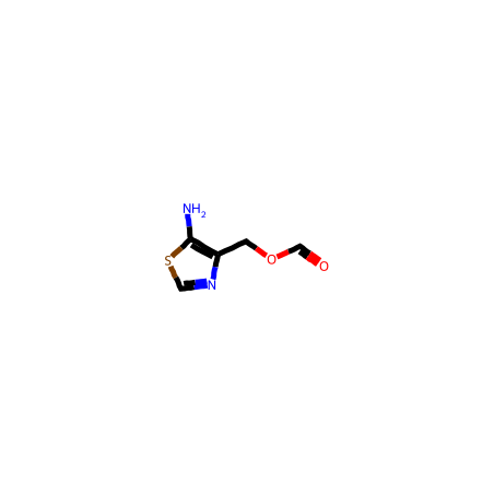 Nc1scnc1COC=O